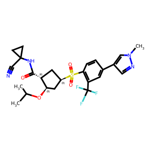 CC(C)O[C@@H]1C[C@H](S(=O)(=O)c2ccc(-c3cnn(C)c3)cc2C(F)(F)F)C[C@H]1C(=O)NC1(C#N)CC1